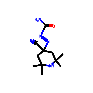 CC1(C)CC(C#N)(N=NC(N)=O)CC(C)(C)N1